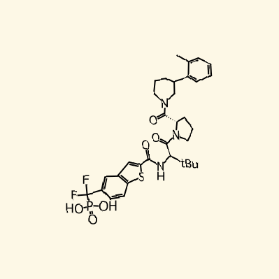 Cc1ccccc1C1CCCN(C(=O)[C@@H]2CCCN2C(=O)C(NC(=O)c2cc3cc(C(F)(F)P(=O)(O)O)ccc3s2)C(C)(C)C)C1